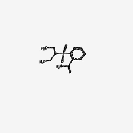 CCN(CC)S(=O)(=O)c1ccccc1C(N)=O